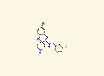 Clc1cccc(CNC2=Nc3cc(Br)ccc3NC23CCNCC3)c1